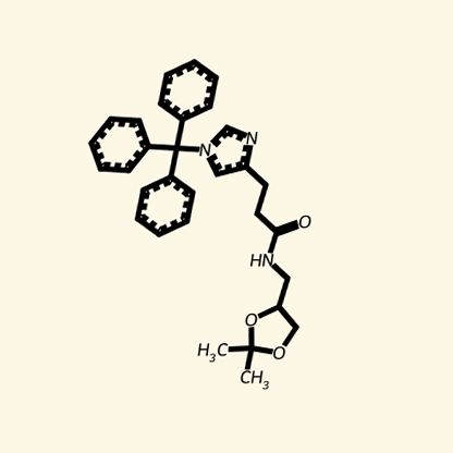 CC1(C)OCC(CNC(=O)CCc2cn(C(c3ccccc3)(c3ccccc3)c3ccccc3)cn2)O1